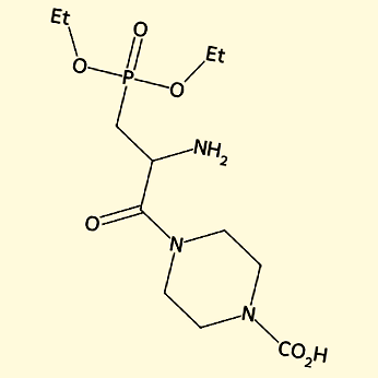 CCOP(=O)(CC(N)C(=O)N1CCN(C(=O)O)CC1)OCC